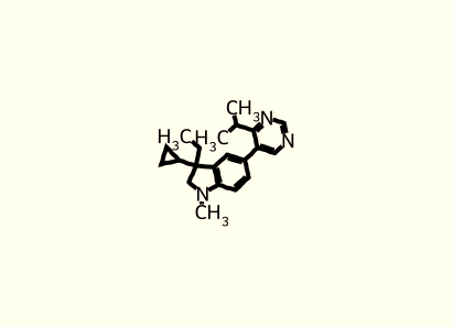 CCC1(C2CC2)CN(C)c2ccc(-c3cncnc3C(C)C)cc21